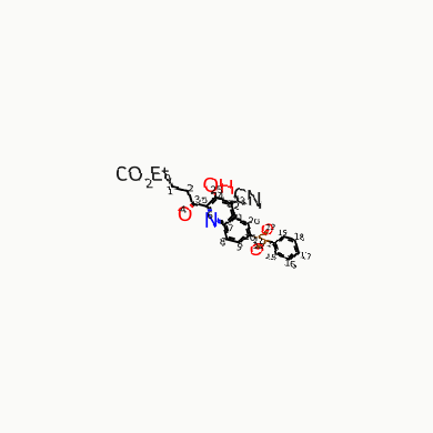 CCOC(=O)CCC(=O)c1nc2ccc(S(=O)(=O)c3ccccc3)cc2c(C#N)c1O